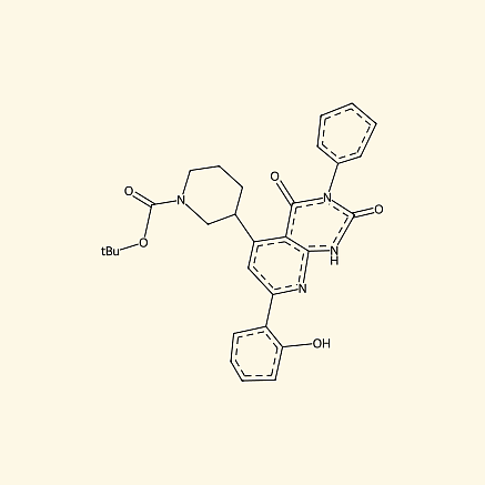 CC(C)(C)OC(=O)N1CCCC(c2cc(-c3ccccc3O)nc3[nH]c(=O)n(-c4ccccc4)c(=O)c23)C1